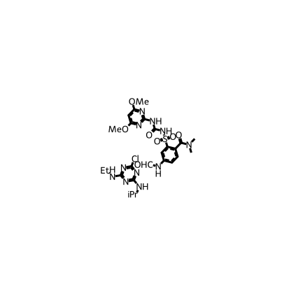 CCNc1nc(Cl)nc(NC(C)C)n1.COc1cc(OC)nc(NC(=O)NS(=O)(=O)c2cc(NC=O)ccc2C(=O)N(C)C)n1